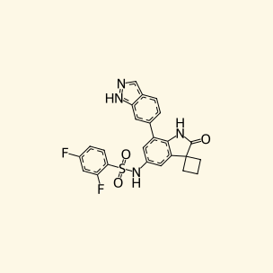 O=C1Nc2c(-c3ccc4cn[nH]c4c3)cc(NS(=O)(=O)c3ccc(F)cc3F)cc2C12CCC2